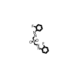 O=S(=O)(CN=Nc1ccccc1F)CN=Nc1ccccc1F